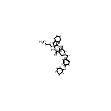 CCCC[C@@]1(CC2CCCCC2)NC(=O)C2(CCN(Cc3ccc(OC4CCOCC4)cc3)CC2)NC1=O